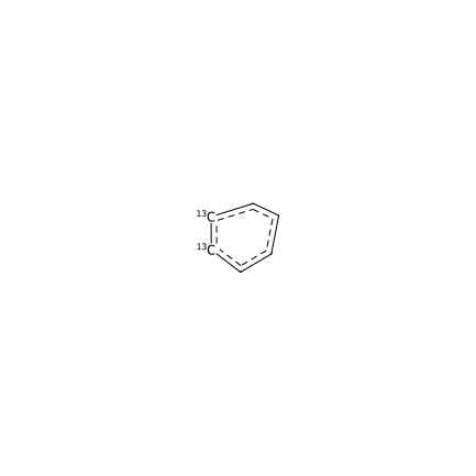 c1cc[13cH][13cH]c1